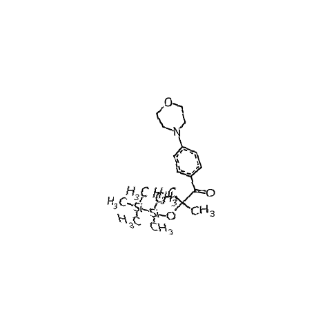 CC(C)(O[Si](C)(C)[Si](C)(C)C)C(=O)c1ccc(N2CCOCC2)cc1